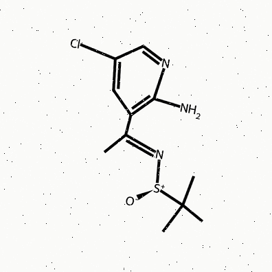 CC(=N[S@+]([O-])C(C)(C)C)c1cc(Cl)cnc1N